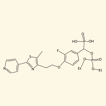 CCOP(=O)(OCC)OC(c1ccc(OCCc2nc(-c3ccncc3)sc2C)c(F)c1)P(=O)(O)O